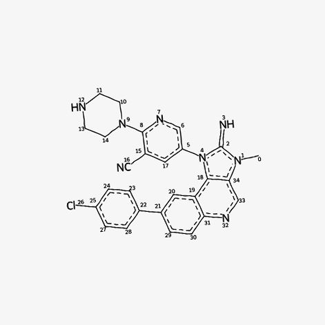 Cn1c(=N)n(-c2cnc(N3CCNCC3)c(C#N)c2)c2c3cc(-c4ccc(Cl)cc4)ccc3ncc21